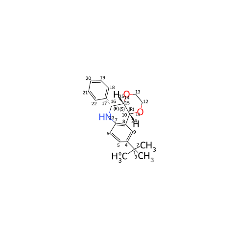 CC(C)(C)c1ccc2c(c1)[C@H]1OCCO[C@H]1[C@@H](c1ccccc1)N2